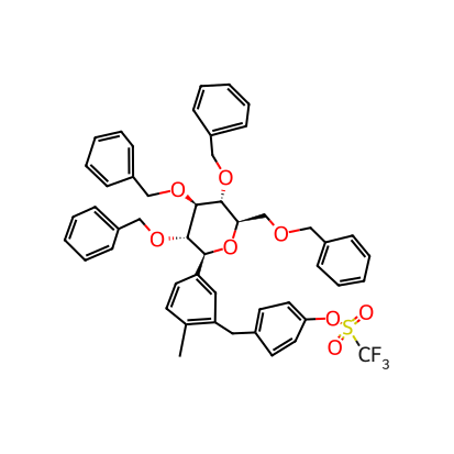 Cc1ccc([C@@H]2O[C@H](COCc3ccccc3)[C@@H](OCc3ccccc3)[C@H](OCc3ccccc3)[C@H]2OCc2ccccc2)cc1Cc1ccc(OS(=O)(=O)C(F)(F)F)cc1